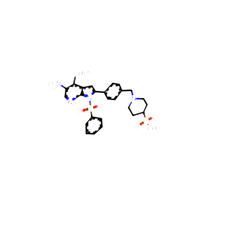 CS(=O)(=O)C1CCN(Cc2ccc(-c3cc4c(C=O)c(N)cnc4n3S(=O)(=O)c3ccccc3)cc2)CC1